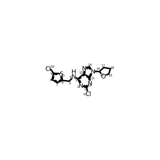 Clc1nc(NCc2ccc(Cl)s2)c2ncn(C3CCCO3)c2n1